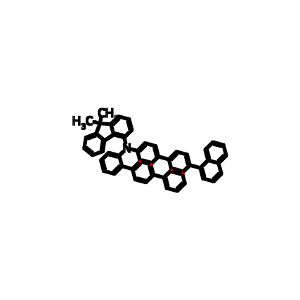 CC1(C)c2ccccc2-c2c(N(c3ccc(-c4ccc(-c5cccc6ccccc56)cc4)cc3)c3ccccc3-c3ccc(-c4ccccc4)cc3)cccc21